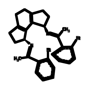 CCc1ccccc1/C(C)=N/[C@@H]1CCC2=C1C1=C(CC2)CC[C@H]1/N=C(\C)c1ccccc1CC